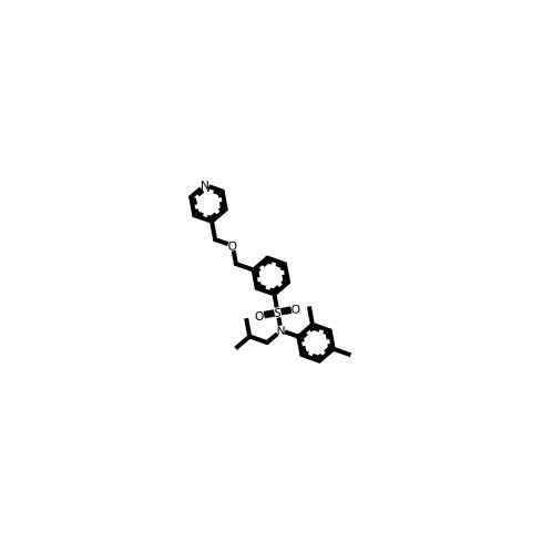 Cc1ccc(N(CC(C)C)S(=O)(=O)c2cccc(COCc3ccncc3)c2)c(C)c1